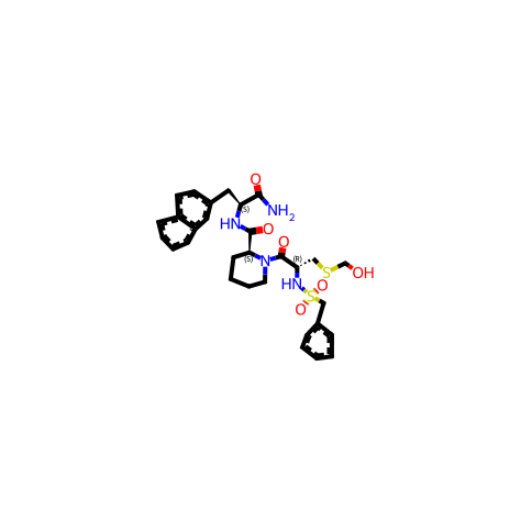 NC(=O)[C@H](Cc1ccc2ccccc2c1)NC(=O)[C@@H]1CCCCN1C(=O)[C@H](CSCO)NS(=O)(=O)Cc1ccccc1